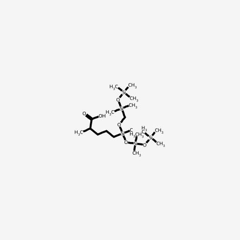 CC(CCC[Si](C)(OC[Si](C)(C)O[Si](C)(C)C)O[Si](C)(C)O[Si](C)(C)C)C(=O)O